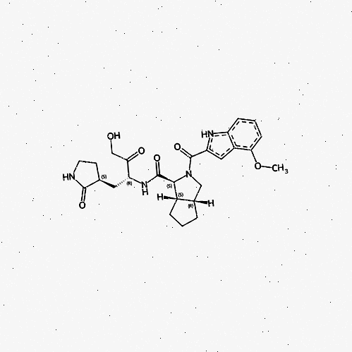 COc1cccc2[nH]c(C(=O)N3C[C@@H]4CCC[C@@H]4[C@H]3C(=O)N[C@H](C[C@@H]3CCNC3=O)C(=O)CO)cc12